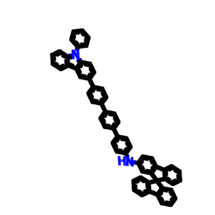 c1ccc(-n2c3ccccc3c3cc(-c4ccc(-c5ccc(-c6ccc(Nc7ccc8c(c7)C7(c9ccccc9-c9ccccc97)c7ccccc7-8)cc6)cc5)cc4)ccc32)cc1